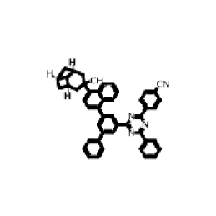 CC1(c2ccc(-c3cc(-c4ccccc4)cc(-c4nc(-c5ccccc5)nc(-c5ccc(C#N)cc5)n4)c3)c3ccccc23)C[C@H]2C[C@H]3C[C@@H](C1)C32